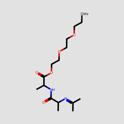 COCCOCCOCCOC(=O)C(C)NC(=O)C(C)N=C(C)C